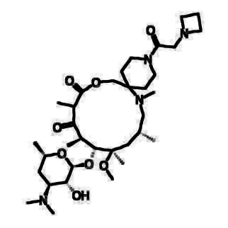 CO[C@]1(C)C[C@@H](C)CN(C)C2(CCN(C(=O)CN3CCC3)CC2)COC(=O)C(C)C(=O)[C@H](C)[C@H]1O[C@@H]1O[C@H](C)C[C@H](N(C)C)[C@H]1O